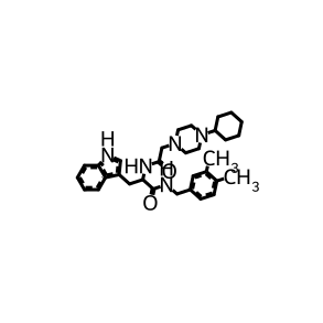 Cc1ccc(CNC(=O)C(Cc2c[nH]c3ccccc23)NC(=O)CN2CCN(C3CCCCC3)CC2)cc1C